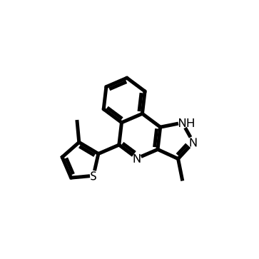 Cc1ccsc1-c1nc2c(C)n[nH]c2c2ccccc12